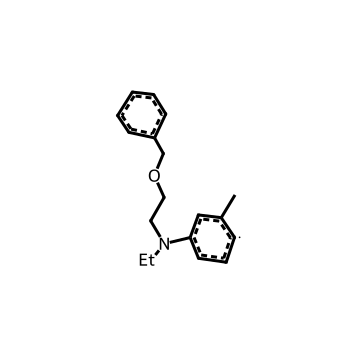 CCN(CCOCc1ccccc1)c1cc[c]c(C)c1